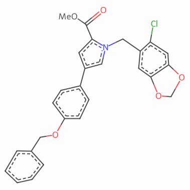 COC(=O)c1cc(-c2ccc(OCc3ccccc3)cc2)cn1Cc1cc2c(cc1Cl)OCO2